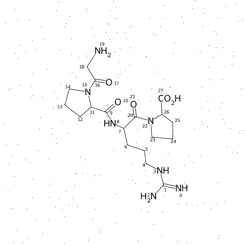 N=C(N)NCCCC(NC(=O)C1CCCN1C(=O)CN)C(=O)N1CCCC1C(=O)O